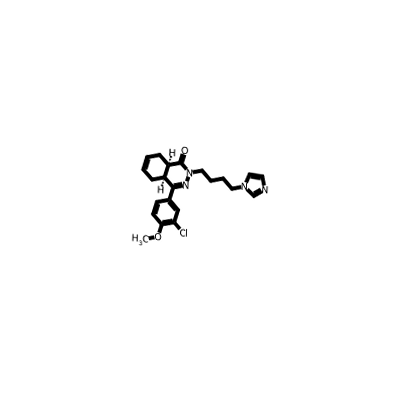 COc1ccc(C2=NN(CCCCn3ccnc3)C(=O)[C@@H]3CC=CC[C@H]23)cc1Cl